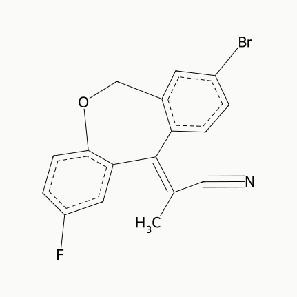 CC(C#N)=C1c2ccc(Br)cc2COc2ccc(F)cc21